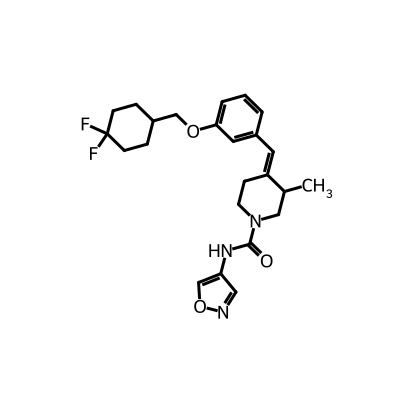 CC1CN(C(=O)Nc2cnoc2)CCC1=Cc1cccc(OCC2CCC(F)(F)CC2)c1